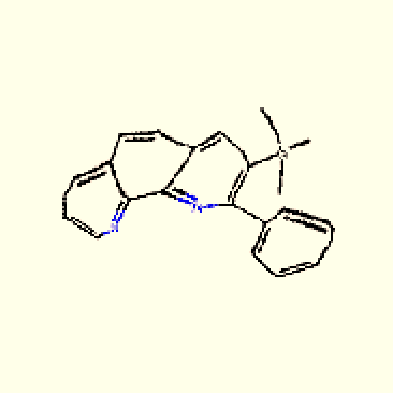 C[Si](C)(C)c1cc2ccc3cccnc3c2nc1-c1ccccc1